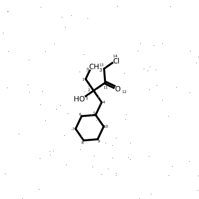 CCC(O)(CC1CCCCC1)C(=O)CCl